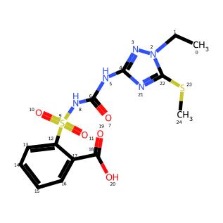 CCn1nc(NC(=O)NS(=O)(=O)c2ccccc2C(=O)O)nc1SC